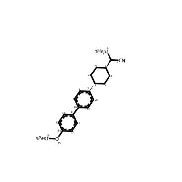 CCCCCCCC(C#N)[C@H]1CC[C@H](c2ccc(-c3ccc(OCCCCC)cc3)cc2)CC1